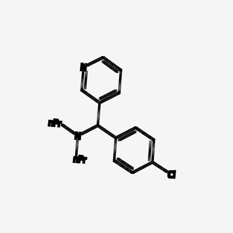 CCCN(CCC)C(c1ccc(Cl)cc1)c1cccnc1